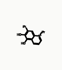 CC(C)c1cc2c(ccc[n+]2C(C)C)c(O)c1O